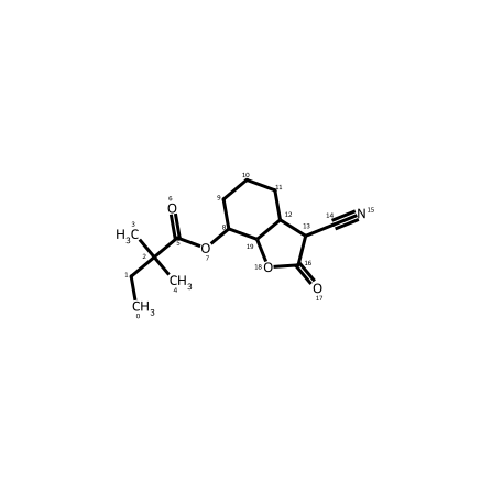 CCC(C)(C)C(=O)OC1CCCC2C(C#N)C(=O)OC12